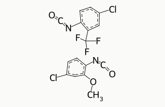 COc1cc(Cl)ccc1N=C=O.O=C=Nc1ccc(Cl)cc1C(F)(F)F